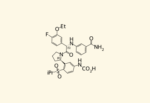 CCOc1cc([C@H](Nc2cccc(C(N)=O)c2)C(=O)N2CCC[C@@H]2c2cc(NC(=O)O)ccc2S(=O)(=O)C(C)C)ccc1F